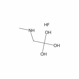 CNCC(O)(O)O.F